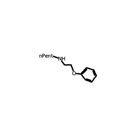 CCCCCNCCOc1ccccc1